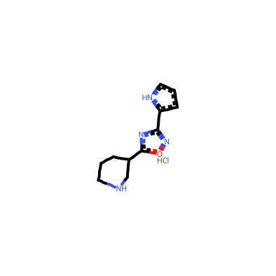 Cl.c1c[nH]c(-c2noc(C3CCCNC3)n2)c1